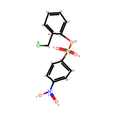 O=[N+]([O-])c1ccc(S(=O)(=O)Oc2ccccc2CCl)cc1